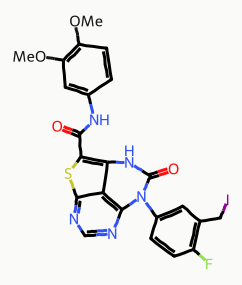 COc1ccc(NC(=O)c2sc3ncnc4c3c2NC(=O)N4c2ccc(F)c(CI)c2)cc1OC